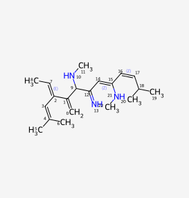 C=C(/C(C=C(C)C)=C/C)C(NC)C(=N)/C=C(/C=C\C(C)C)NC